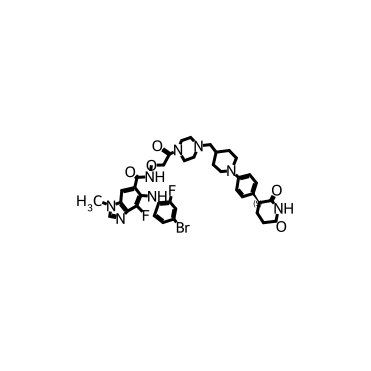 Cn1cnc2c(F)c(Nc3ccc(Br)cc3F)c(C(=O)NOCC(=O)N3CCN(CC4CCN(c5ccc([C@@H]6CCC(=O)NC6=O)cc5)CC4)CC3)cc21